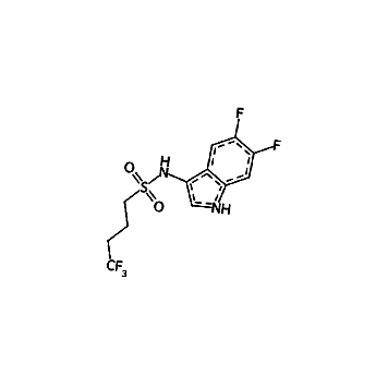 O=S(=O)(CCCC(F)(F)F)Nc1c[nH]c2cc(F)c(F)cc12